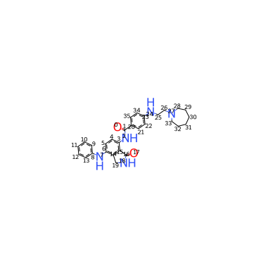 O=C(Nc1ccc(Nc2ccccc2)c2c1C(=O)NC2)c1ccc(NCCN2CCCCCC2)cc1